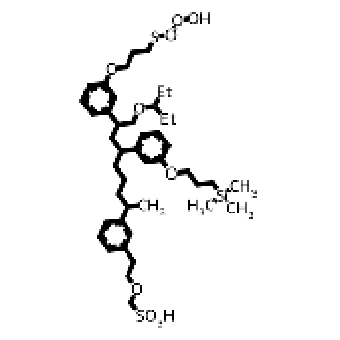 CCC(CC)OCC(CC(CCCC(C)c1cccc(CCOCS(=O)(=O)O)c1)c1cccc(OCCC[Si](C)(C)C)c1)c1cccc(OCCCSOOO)c1